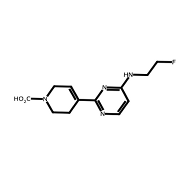 O=C(O)N1CC=C(c2nccc(NCCF)n2)CC1